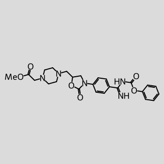 COC(=O)CN1CCN(CC2CN(c3ccc(C(=N)NC(=O)Oc4ccccc4)cc3)C(=O)O2)CC1